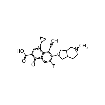 C#Cc1c(N2CC3CCN(C)CC3C2)c(F)cc2c(=O)c(C(=O)O)cn(C3CC3)c12